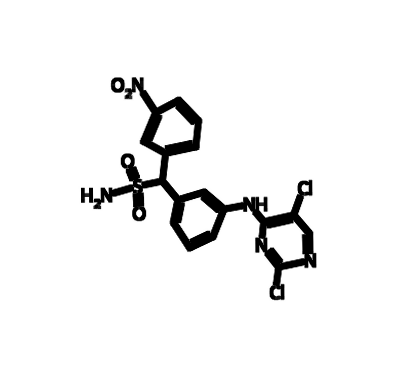 NS(=O)(=O)C(c1cccc(Nc2nc(Cl)ncc2Cl)c1)c1cccc([N+](=O)[O-])c1